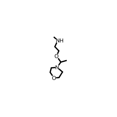 CNCCOC(C)N1CCOCC1